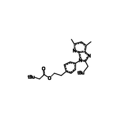 Cc1cc(C)c2nc(CC(C)(C)C)n(-c3ccc(CCOC(=O)CC(C)(C)C)cc3)c2n1